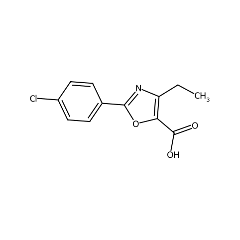 CCc1nc(-c2ccc(Cl)cc2)oc1C(=O)O